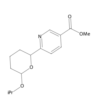 COC(=O)c1ccc(C2CCCC(OC(C)C)O2)nc1